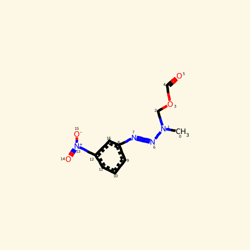 CN(COC=O)/N=N/c1cccc([N+](=O)[O-])c1